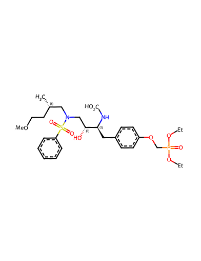 CCOP(=O)(COc1ccc(C[C@H](NC(=O)O)[C@H](O)CN(C[C@@H](C)CCOC)S(=O)(=O)c2ccccc2)cc1)OCC